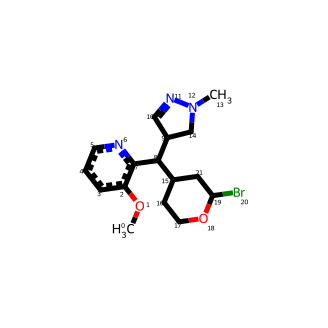 COc1cccnc1C(C1C=NN(C)C1)C1CCOC(Br)C1